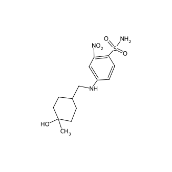 CC1(O)CCC(CNc2ccc(S(N)(=O)=O)c([N+](=O)[O-])c2)CC1